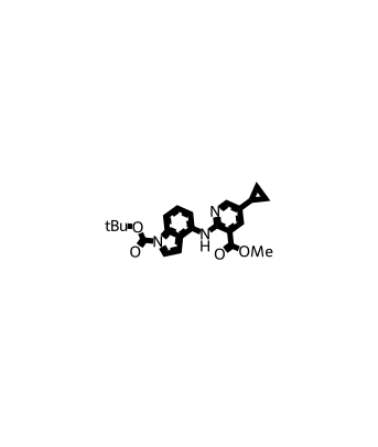 COC(=O)c1cc(C2CC2)cnc1Nc1cccc2c1ccn2C(=O)OC(C)(C)C